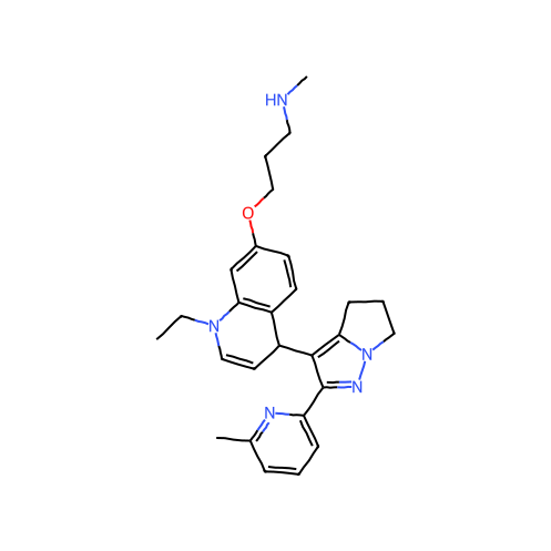 CCN1C=CC(c2c(-c3cccc(C)n3)nn3c2CCC3)c2ccc(OCCCNC)cc21